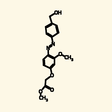 COC(=O)COc1ccc(N=Nc2ccc(CO)cc2)c(OC)c1